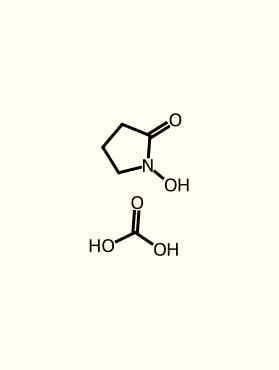 O=C(O)O.O=C1CCCN1O